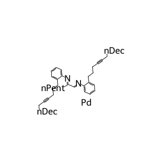 CCCCCCCCCCCC#CCCCc1ccccc1N=CC(CCCCC)=Nc1ccccc1CCCC#CCCCCCCCCCCC.[Pd]